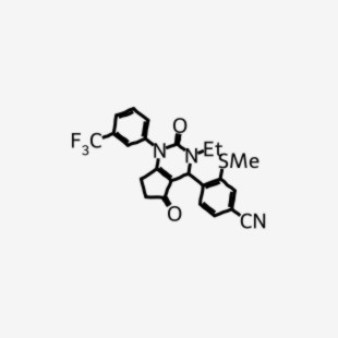 CCN1C(=O)N(c2cccc(C(F)(F)F)c2)C2=C(C(=O)CC2)C1c1ccc(C#N)cc1SC